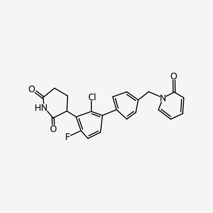 O=C1CCC(c2c(F)ccc(-c3ccc(Cn4ccccc4=O)cc3)c2Cl)C(=O)N1